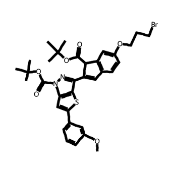 COc1cccc(-c2cc3c(s2)c(C2=Cc4ccc(OCCCBr)cc4C2C(=O)OC(C)(C)C)nn3C(=O)OC(C)(C)C)c1